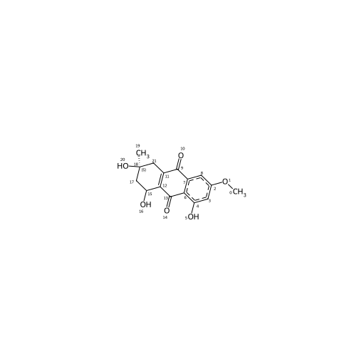 COc1cc(O)c2c(c1)C(=O)C1=C(C2=O)C(O)C[C@@](C)(O)C1